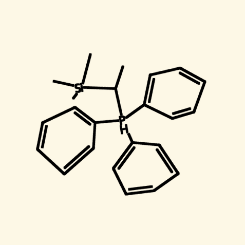 CC([Si](C)(C)C)[PH](c1ccccc1)(c1ccccc1)c1ccccc1